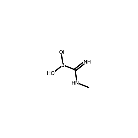 CNC(=N)B(O)O